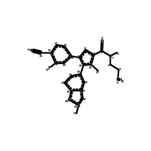 CN(CCN)C(=O)c1cc(-c2ccc(C#N)c(F)c2)c(-c2ccc3nn(C)cc3c2)n1C